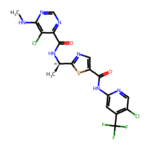 CNc1ncnc(C(=O)N[C@H](C)c2ncc(C(=O)Nc3cc(C(F)(F)F)c(Cl)cn3)s2)c1Cl